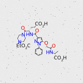 CCOC(=O)N1CCN(C(=O)[C@H](CCC(=O)O)NC(=O)c2cc(OCC(=O)N[C@H](C)C(=O)O)n(-c3ccccc3)n2)CC1